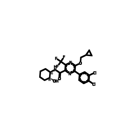 O=C(N[C@@H]1CCCC[C@H]1O)c1nc(-c2ccc(Cl)c(Cl)c2)c(OCC2CC2)nc1C(F)(F)F